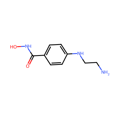 NCCNc1ccc(C(=O)NO)cc1